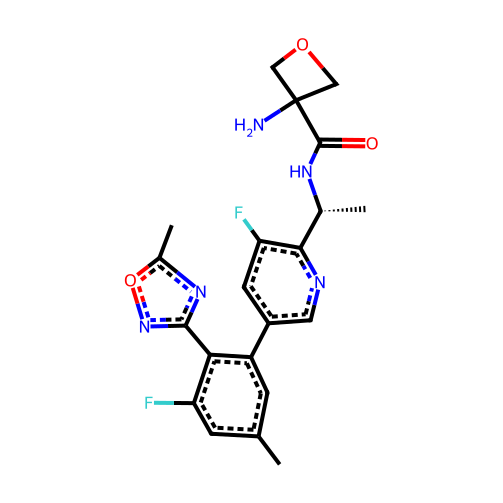 Cc1cc(F)c(-c2noc(C)n2)c(-c2cnc([C@@H](C)NC(=O)C3(N)COC3)c(F)c2)c1